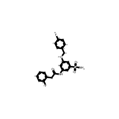 NS(=O)(=O)c1cc(NC(=O)Cc2ccccc2F)cc(OCc2ccc(F)cc2)c1